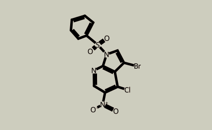 O=[N+]([O-])c1cnc2c(c(Br)cn2S(=O)(=O)c2ccccc2)c1Cl